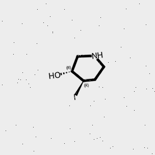 O[C@@H]1CNCC[C@H]1I